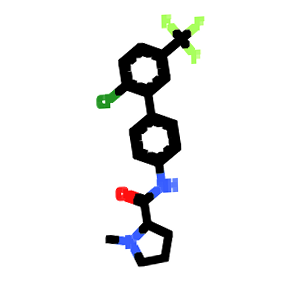 CN1CCCC1C(=O)Nc1ccc(-c2cc(C(F)(F)F)ccc2Cl)cc1